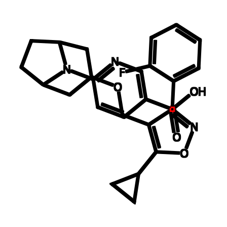 O=C(O)c1ccc(N2C3CCC2CC(OCc2c(-c4ccccc4F)noc2C2CC2)C3)nc1